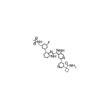 CS(=O)(=O)NCc1cc(F)cc(-c2cccc3[nH]c(-c4n[nH]c5cnc(-c6cncc(C7(C(N)=O)CCC7)c6)cc45)nc23)c1